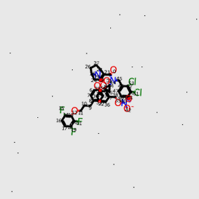 O=C(C1=C(Oc2ccc(CCCOc3c(F)ccc(F)c3F)cc2)CC2CCC1N2C(=O)Oc1cccc(CO[N+](=O)[O-])c1)N(Cc1cccc(Cl)c1Cl)C1CC1